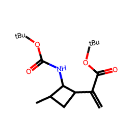 C=C(C(=O)OC(C)(C)C)C1CC(C)C1NC(=O)OC(C)(C)C